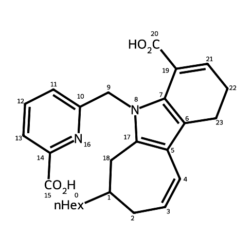 CCCCCCC1CC=Cc2c3c(n(Cc4cccc(C(=O)O)n4)c2C1)C(C(=O)O)=CCC3